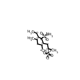 CCCCC.CCCCC(CCC)S(N)(=O)=O.O=S(=O)(Cl)Cl